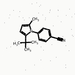 Cc1ccc(C(C)(C)C)n1-c1ccc(C#N)cc1